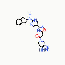 O=C(Cc1nc(-c2cnc(NC3Cc4ccccc4C3)nc2)no1)N1CCc2[nH]nnc2C1